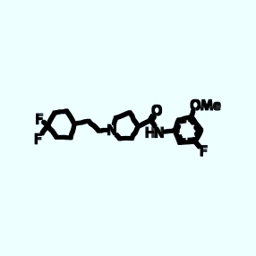 COc1cc(F)cc(NC(=O)C2CCN(CCC3CCC(F)(F)CC3)CC2)c1